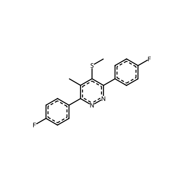 CSc1c(-c2ccc(F)cc2)nnc(-c2ccc(F)cc2)c1C